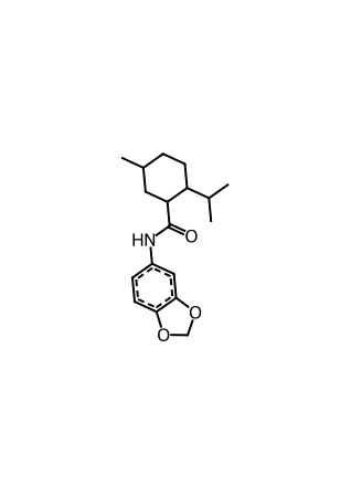 CC1CCC(C(C)C)C(C(=O)Nc2ccc3c(c2)OCO3)C1